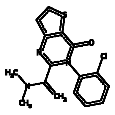 C=C(c1nc2ccsc2c(=O)n1-c1ccccc1Cl)N(C)C